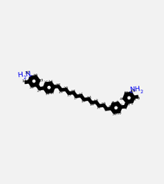 Cc1cc(Cc2ccc(CCCCCCCCCCCCCCc3ccc(Cc4ccc(N)c(C)c4)cc3)cc2)ccc1N